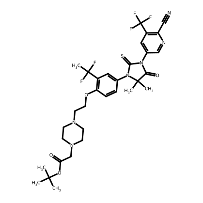 CC(C)(C)OC(=O)CN1CCN(CCOc2ccc(N3C(=S)N(c4cnc(C#N)c(C(F)(F)F)c4)C(=O)C3(C)C)cc2C(C)(F)F)CC1